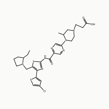 CCC1CCCN1Cc1sc(NC(=O)c2cnc(N3CCN(CCC(=O)O)CC3C)cn2)nc1-c1cc(Cl)cs1